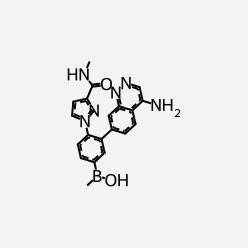 CNC(=O)c1ccn(-c2ccc(B(C)O)cc2-c2ccc3c(N)cnnc3c2)n1